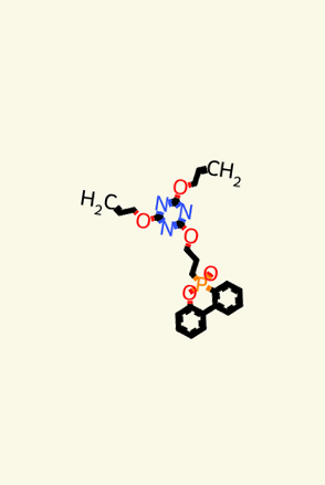 C=CCOc1nc(OCC=C)nc(OCCCP2(=O)Oc3ccccc3-c3ccccc32)n1